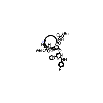 COC(=O)[C@@]12C[C@H]1/C=C\CCCCC[C@H](NC(=O)OC(C)(C)C)C(=O)N1C[C@H](Oc3cc(N4CCCC4)nc(Nc4ccc(F)cc4)n3)C[C@H]1C(=O)N2